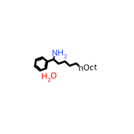 CCCCCCCCCCCCC(N)c1ccccc1.O